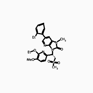 CCOc1nc([C@@H](CS(C)(=O)=O)n2c(=O)n(C)c3cc(-c4ccccc4CC)cnc32)ccc1OC